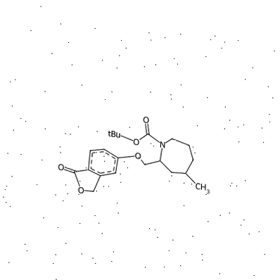 CC1CCCN(C(=O)OC(C)(C)C)C(COc2ccc3c(c2)COC3=O)C1